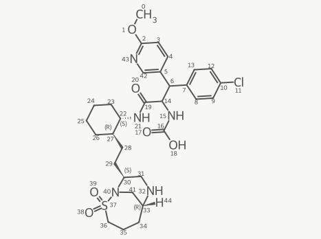 COc1ccc(C(c2ccc(Cl)cc2)C(NC(=O)O)C(=O)N[C@H]2CCCC[C@@H]2CC[C@H]2CN[C@@H]3CCCS(=O)(=O)N2C3)cn1